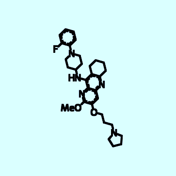 COc1nc2c(NC3CCN(c4ccccc4F)CC3)c3c(nc2cc1OCCCN1CCCC1)CCCC3